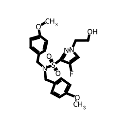 COc1ccc(CN(Cc2ccc(OC)cc2)S(=O)(=O)c2nn(CCO)cc2F)cc1